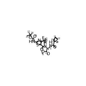 COC(=O)C(CNC(=O)c1cccs1)NC(=O)c1sc(NC(=O)OC(C)(C)C)nc1C(F)(F)F